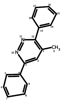 Cc1cc(-c2ccccc2)nnc1-c1ccccc1